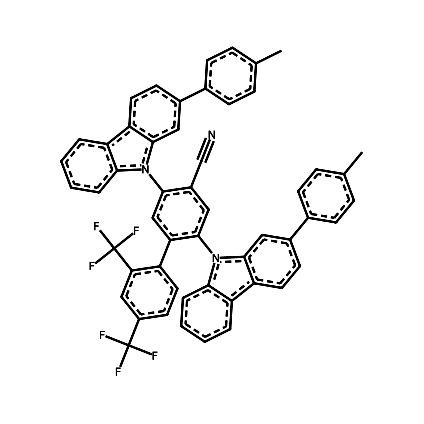 Cc1ccc(-c2ccc3c4ccccc4n(-c4cc(-c5ccc(C(F)(F)F)cc5C(F)(F)F)c(-n5c6ccccc6c6ccc(-c7ccc(C)cc7)cc65)cc4C#N)c3c2)cc1